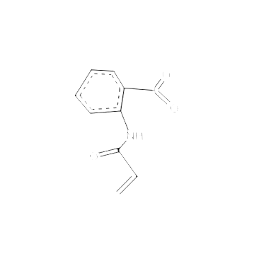 C=CC(=O)Nc1ccccc1I(=O)=O